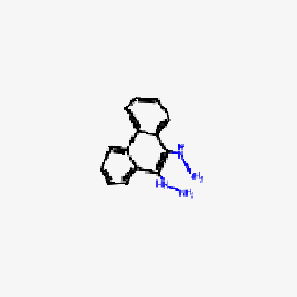 NNc1c(NN)c2ccccc2c2ccccc12